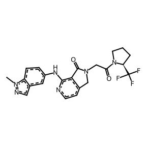 Cn1ncc2cc(Nc3nccc4c3C(=O)N(CC(=O)N3CCC[C@H]3C(F)(F)F)C4)ccc21